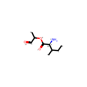 CCC(C)[C@H](N)C(=O)OC(C)[C]=O